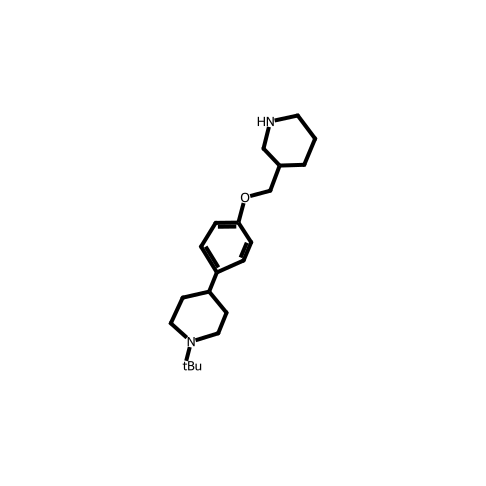 CC(C)(C)N1CCC(c2ccc(OCC3CCCNC3)cc2)CC1